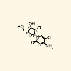 Nc1nc(=O)n([C@@H]2O[C@H](CO)[C@@H](O)[C@@H]2Cl)cc1Cl